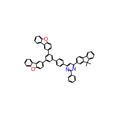 CC1(C)c2ccccc2-c2ccc(-c3cc(-c4ccc(-c5cc(-c6ccc7oc8ccccc8c7c6)cc(-c6ccc7oc8ccccc8c7c6)c5)cc4)nc(-c4ccccc4)n3)cc21